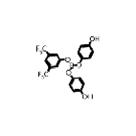 Oc1ccc(OB(Oc2ccc(O)cc2)Oc2cc(C(F)(F)F)cc(C(F)(F)F)c2)cc1